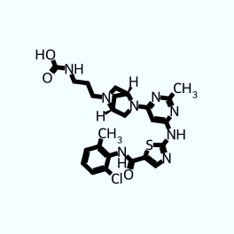 Cc1nc(Nc2ncc(C(=O)Nc3c(C)cccc3Cl)s2)cc(N2C[C@H]3C[C@@H]2CN3CCCNC(=O)O)n1